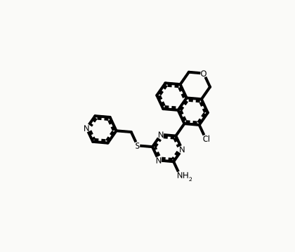 Nc1nc(SCc2ccncc2)nc(-c2c(Cl)cc3c4c(cccc24)COC3)n1